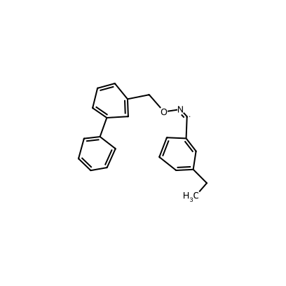 CCc1cccc(/[C]=N\OCc2cccc(-c3ccccc3)c2)c1